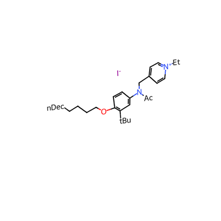 CCCCCCCCCCCCCCOc1ccc(N(Cc2cc[n+](CC)cc2)C(C)=O)cc1C(C)(C)C.[I-]